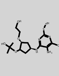 CCCSc1nc(Cl)c(N)c(N[C@H]2CC(OC(C)(C)O)[C@@H](OCCO)C2)n1